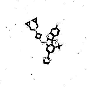 O=C1N(C[C@H]2C[C@H](N(CC3CC3)CC3CC3)C2)c2cc(-c3ncco3)cc(C(F)(F)F)c2C1(O)c1ccc(Cl)cc1Cl